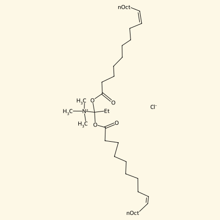 CCCCCCCC/C=C\CCCCCCCC(=O)OC(CC)(OC(=O)CCCCCCC/C=C\CCCCCCCC)[N+](C)(C)C.[Cl-]